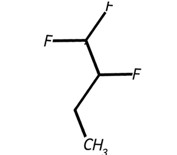 CCC(F)[C](F)F